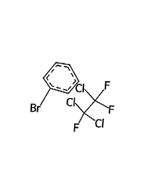 Brc1ccccc1.FC(F)(Cl)C(F)(Cl)Cl